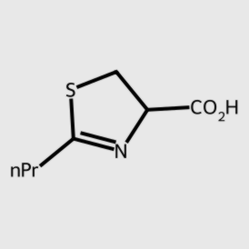 CCCC1=NC(C(=O)O)CS1